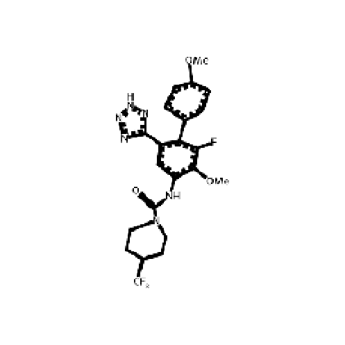 COc1ccc(-c2c(-c3nn[nH]n3)cc(NC(=O)N3CCC(C(F)(F)F)CC3)c(OC)c2F)cc1